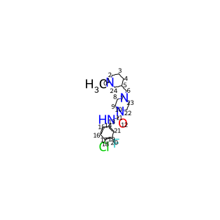 CN1CCCC(CN2CCN(C(=O)Nc3ccc(Cl)c(F)c3)CC2)C1